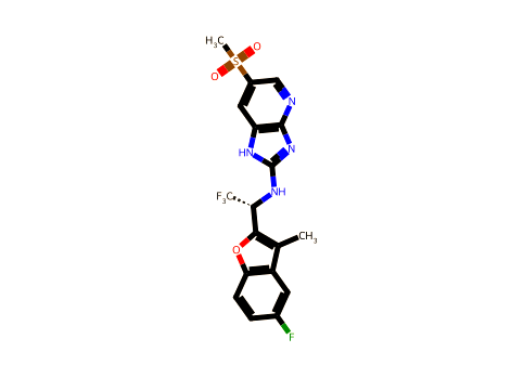 Cc1c([C@@H](Nc2nc3ncc(S(C)(=O)=O)cc3[nH]2)C(F)(F)F)oc2ccc(F)cc12